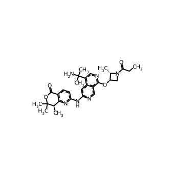 CCC(=O)N1C[C@@H](Oc2ncc(C(C)(C)N)c3cc(Nc4ccc5c(n4)[C@@H](C)C(C)(C)OC5=O)ncc23)[C@@H]1C